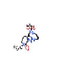 CN1CCCc2c(nn3c2CN(C(=O)OC(C)(C)C)CCC3)C1=O